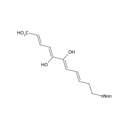 CCCCCCCCCCCC=CC=C(O)C(O)=CC=CC(=O)O